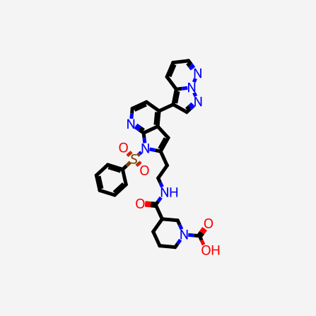 O=C(NCCc1cc2c(-c3cnn4ncccc34)ccnc2n1S(=O)(=O)c1ccccc1)C1CCCN(C(=O)O)C1